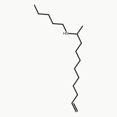 C=CCCCCCCCC(C)NCCCCC